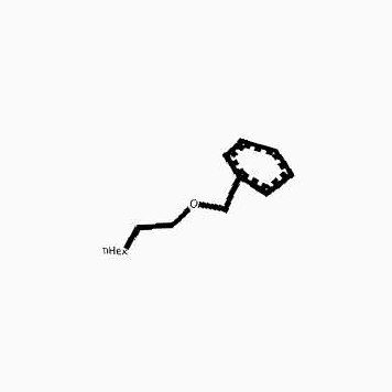 CCCCCCCCO[CH]c1ccccc1